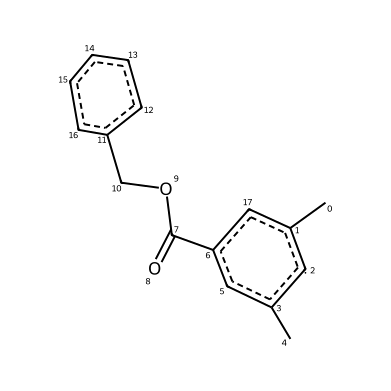 Cc1[c]c(C)cc(C(=O)OCc2ccccc2)c1